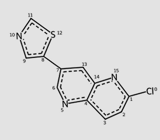 Clc1ccc2ncc(-c3cncs3)cc2n1